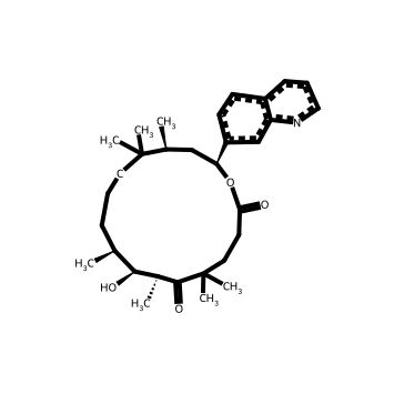 C[C@H]1CCCC(C)(C)[C@@H](C)C[C@@H](c2ccc3cccnc3c2)OC(=O)CCC(C)(C)C(=O)[C@H](C)[C@H]1O